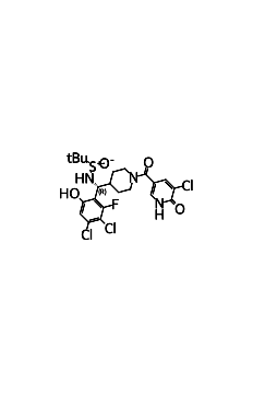 CC(C)(C)[S+]([O-])N[C@@H](c1c(O)cc(Cl)c(Cl)c1F)C1CCN(C(=O)c2c[nH]c(=O)c(Cl)c2)CC1